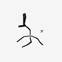 C=C(C)C[N+](CC)(CC)CC.[Br-]